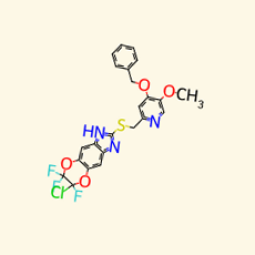 COc1cnc(CSc2nc3cc4c(cc3[nH]2)OC(F)(F)C(F)(Cl)O4)cc1OCc1ccccc1